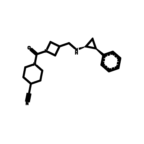 N#CC1CCN(C(=O)N2CC(CN[C@@H]3C[C@H]3c3ccccc3)C2)CC1